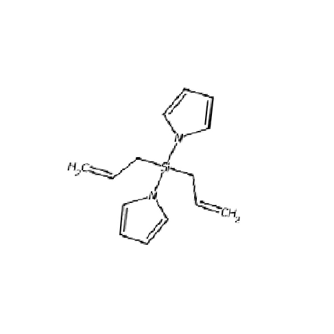 C=CC[Si](CC=C)(n1cccc1)n1cccc1